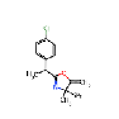 C=C1OC(C(C)c2ccc(Cl)cc2)=NC1(C)C(C)C